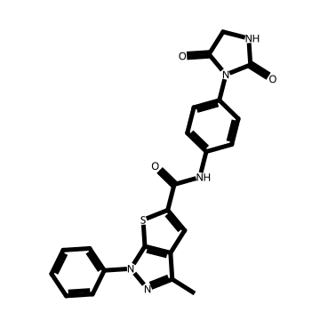 Cc1nn(-c2ccccc2)c2sc(C(=O)Nc3ccc(N4C(=O)CNC4=O)cc3)cc12